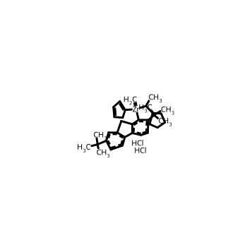 Cl.Cl.[CH2]=[Zr]([C]1=CC=CC1)([c]1c(C(C)(C)C)ccc2c1Cc1cc(C(C)(C)C)ccc1-2)[CH](C)C1CCCC1